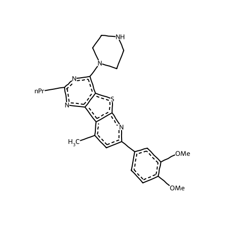 CCCc1nc(N2CCNCC2)c2sc3nc(-c4ccc(OC)c(OC)c4)cc(C)c3c2n1